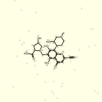 CN1CCC(c2c(O)c(CN3CC(O)CC3C(=O)O)c(O)c3c(=O)cc(C#N)oc23)C(O)C1